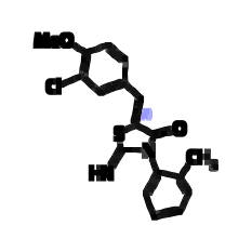 COc1ccc(/C=C2\SC(=N)N(c3ccccc3C)C2=O)cc1Cl